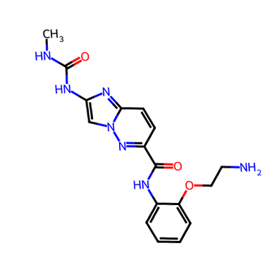 CNC(=O)Nc1cn2nc(C(=O)Nc3ccccc3OCCN)ccc2n1